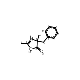 CC1=NC(C)(Cc2ccccc2)C(=O)O1